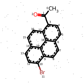 CC(=O)c1ccc2ccc3c(Br)ccc4ccc1c2c43